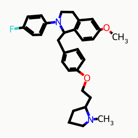 COc1ccc2c(c1)CCN(c1ccc(F)cc1)C2Cc1ccc(OCCC2CCCN2C)cc1